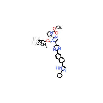 CC(C)(C)OC(=O)N1CCC[C@H]1c1ncc(-c2cnc(-c3ccc4cc(-c5cnc(C6CCCC6)[nH]5)ccc4c3)nc2)n1COCC[Si](C)(C)C